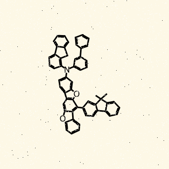 CC1(C)c2ccccc2-c2ccc(-c3c4oc5cc(N(c6cccc(-c7ccccc7)c6)c6cccc7c6Cc6ccccc6-7)ccc5c4cc4oc5ccccc5c34)cc21